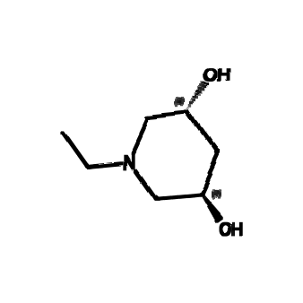 CCN1C[C@H](O)C[C@@H](O)C1